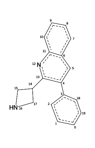 c1ccc(-c2cc3ccccc3nc2C2CNC2)cc1